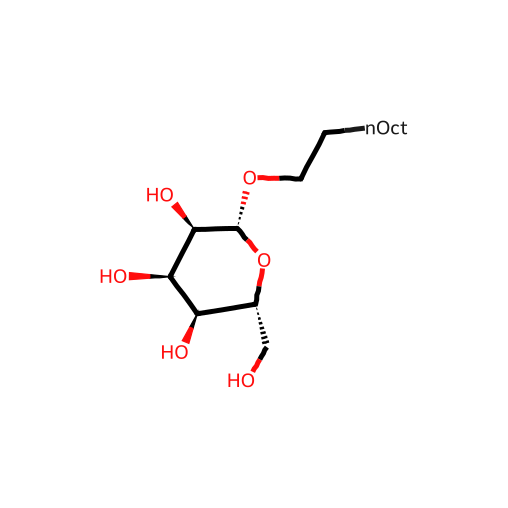 CCCCCCCCCCO[C@@H]1O[C@H](CO)[C@@H](O)[C@@H](O)[C@H]1O